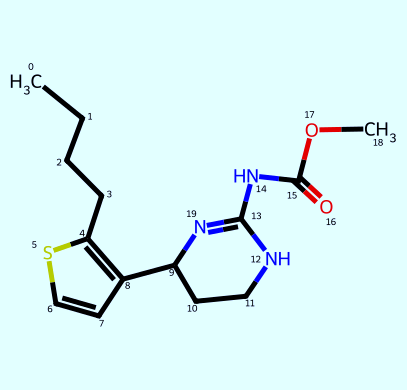 CCCCc1sccc1C1CCNC(NC(=O)OC)=N1